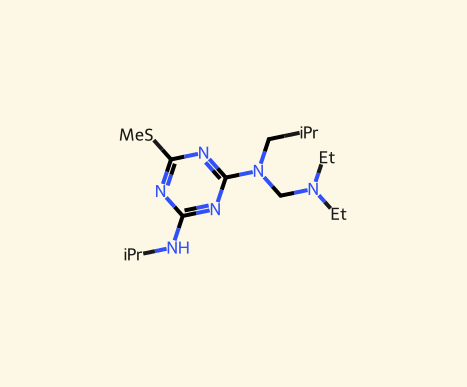 CCN(CC)CN(CC(C)C)c1nc(NC(C)C)nc(SC)n1